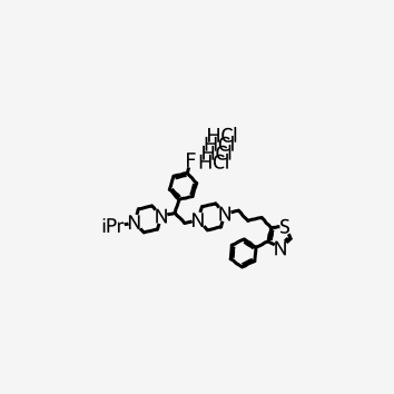 CC(C)N1CCN(C(CN2CCN(CCCc3scnc3-c3ccccc3)CC2)c2ccc(F)cc2)CC1.Cl.Cl.Cl.Cl